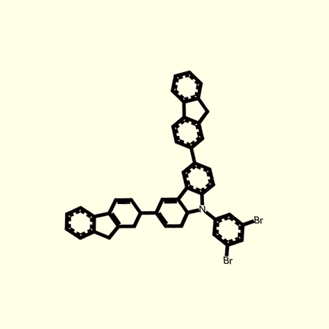 Brc1cc(Br)cc(N2c3ccc(-c4ccc5c(c4)Cc4ccccc4-5)cc3C3=CC(C4C=CC5=C(Cc6ccccc65)C4)=CCC32)c1